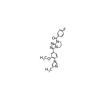 COc1cc(-c2nnc3n2CCCN3C(=O)c2ccc(F)cc2)ccc1-n1cnc(C)c1